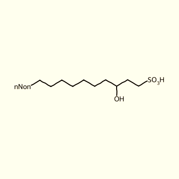 CCCCCCCCCCCCCCCCC(O)CCS(=O)(=O)O